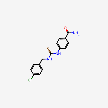 NC(=O)c1ccc(NC(=S)NCc2ccc(Cl)cc2)cc1